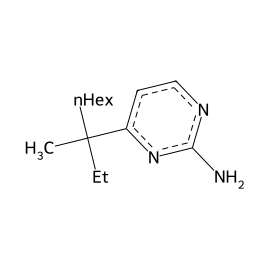 CCCCCCC(C)(CC)c1ccnc(N)n1